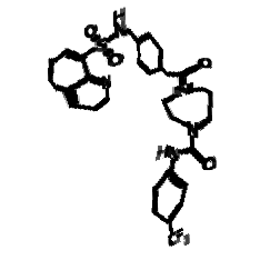 O=C(Nc1ccc(C(F)(F)F)cc1)N1CCN(C(=O)C2=CCC(NS(=O)(=O)c3cccc4cccnc34)C=C2)CC1